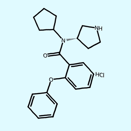 Cl.O=C(c1ccccc1Oc1ccccc1)N(C1CCCC1)[C@H]1CCNC1